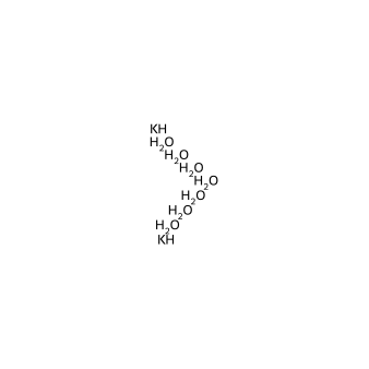 O.O.O.O.O.O.O.[KH].[KH]